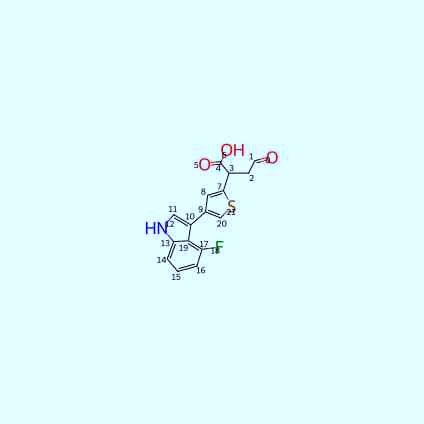 O=CCC(C(=O)O)c1cc(-c2c[nH]c3cccc(F)c23)cs1